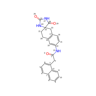 O=C(Cc1cccc2ccccc12)Nc1ccc2c(c1)CCC1(C2)NC(=O)NC1=O